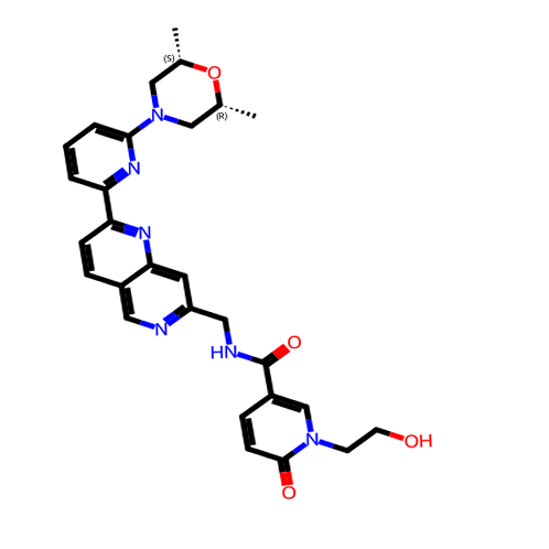 C[C@@H]1CN(c2cccc(-c3ccc4cnc(CNC(=O)c5ccc(=O)n(CCO)c5)cc4n3)n2)C[C@H](C)O1